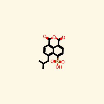 CC(C)Cc1ccc2c3c(ccc(S(=O)(=O)O)c13)C(=O)OC2=O